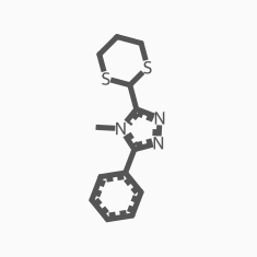 Cn1c(-c2ccccc2)nnc1C1SCCCS1